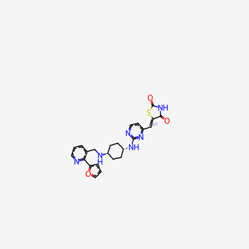 O=C1NC(=O)/C(=C/c2ccnc(N[C@H]3CC[C@H](NCc4cccnc4-c4ccco4)CC3)n2)S1